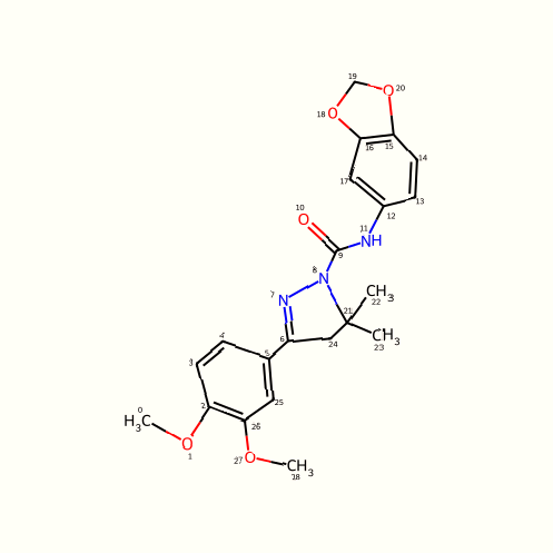 COc1ccc(C2=NN(C(=O)Nc3ccc4c(c3)OCO4)C(C)(C)C2)cc1OC